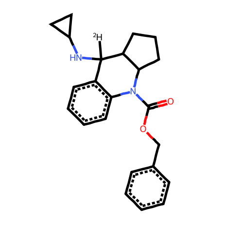 [2H]C1(NC2CC2)c2ccccc2N(C(=O)OCc2ccccc2)C2CCCC21